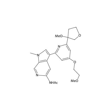 COCCOc1cc(-c2cn(C)c3cnc(NC(C)=O)cc23)nc(C2(OC)CCOC2)c1